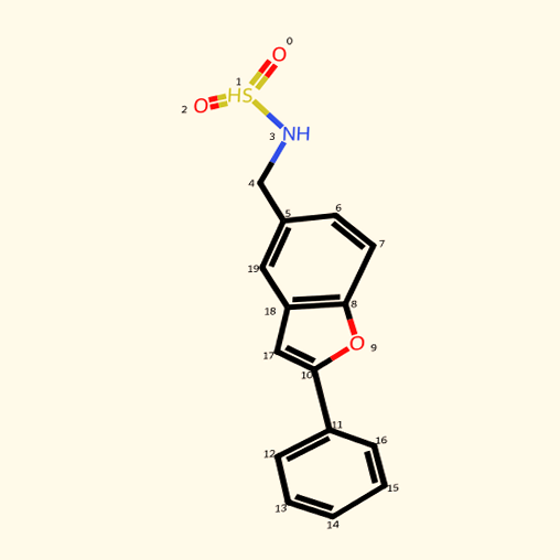 O=[SH](=O)NCc1ccc2oc(-c3ccccc3)cc2c1